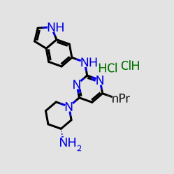 CCCc1cc(N2CCC[C@@H](N)C2)nc(Nc2ccc3cc[nH]c3c2)n1.Cl.Cl